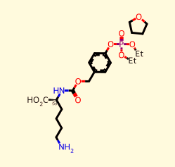 C1CCOC1.CCOP(=O)(OCC)Oc1ccc(COC(=O)N[C@@H](CCCCN)C(=O)O)cc1